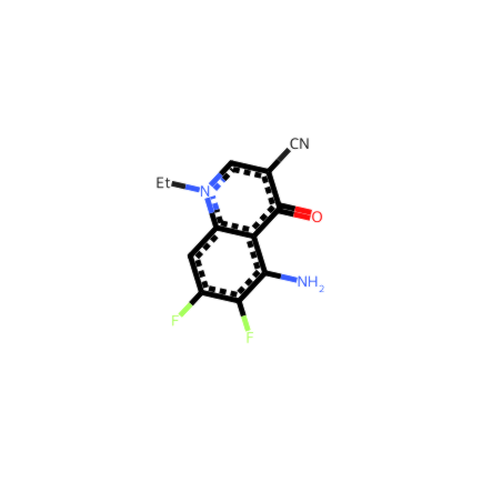 CCn1cc(C#N)c(=O)c2c(N)c(F)c(F)cc21